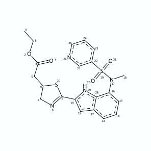 CCOC(=O)CC1CN=C(c2cc3cccc(N(C)S(=O)(=O)c4cccnc4)c3[nH]2)S1